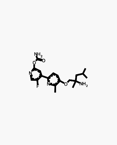 Cc1nc(-c2cc(OC(N)=O)ncc2F)ccc1OCC(C)(N)CC(C)C